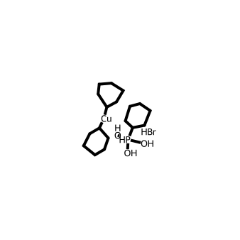 Br.C1CC[CH]([Cu][CH]2CCCCC2)CC1.O[PH](O)(O)C1CCCCC1